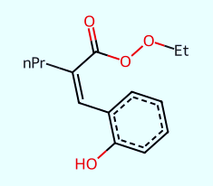 CCCC(=Cc1ccccc1O)C(=O)OOCC